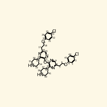 Clc1ccc(OCCc2cnc(Oc3ncc(CCOc4ccc(Cl)cc4)nc3N3CCNCC3)c(N3CCNCC3)n2)cc1